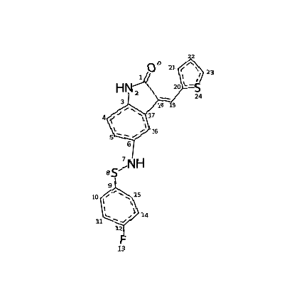 O=C1Nc2ccc(NSc3ccc(F)cc3)cc2/C1=C/c1cccs1